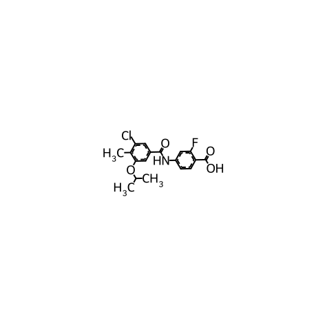 Cc1c(Cl)cc(C(=O)Nc2ccc(C(=O)O)c(F)c2)cc1OC(C)C